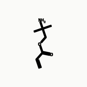 C=CC(=O)OCC(C)(C)N